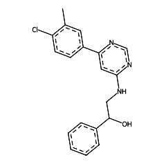 Cc1cc(-c2cc(NCC(O)c3ccccc3)ncn2)ccc1Cl